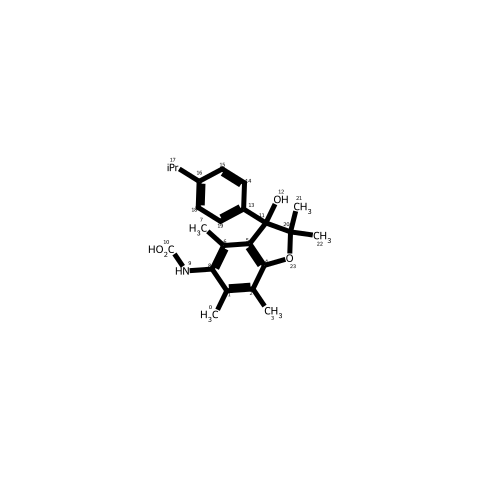 Cc1c(C)c2c(c(C)c1NC(=O)O)C(O)(c1ccc(C(C)C)cc1)C(C)(C)O2